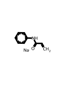 C=CC(=O)Nc1ccccc1.[Na]